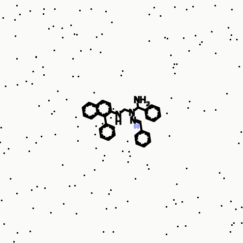 NC(c1ccccc1)N(CNc1ccc2ccccc2c1-c1ccccc1)/N=C/c1ccccc1